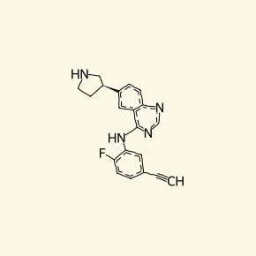 C#Cc1ccc(F)c(Nc2ncnc3ccc([C@H]4CCNC4)cc23)c1